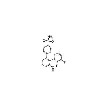 NS(=O)(=O)c1ccc(-c2[c]ccc(O)c2-c2cccc(F)c2F)cc1